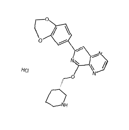 Cl.c1cnc2c(OC[C@H]3CCCNC3)nc(-c3ccc4c(c3)OCCO4)cc2n1